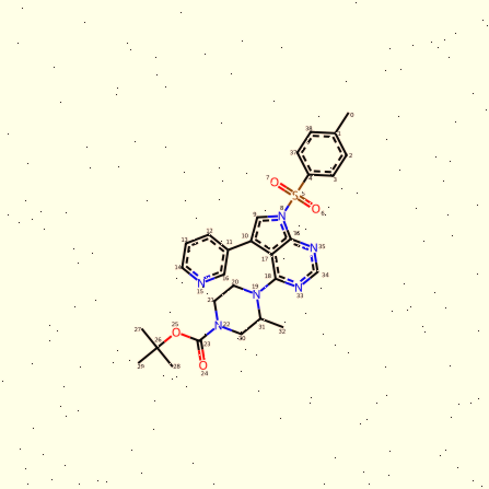 Cc1ccc(S(=O)(=O)n2cc(-c3cccnc3)c3c(N4CCN(C(=O)OC(C)(C)C)CC4C)ncnc32)cc1